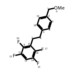 COCc1ccc([CH]Cc2c(F)c(F)cc(F)c2F)cc1